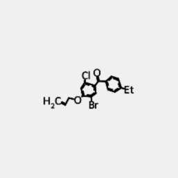 C=CCOc1cc(Cl)c(C(=O)c2ccc(CC)cc2)cc1Br